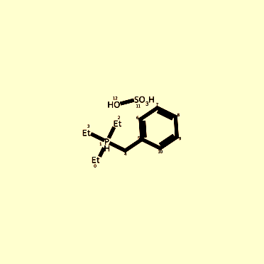 CC[PH](CC)(CC)Cc1ccccc1.O=S(=O)(O)O